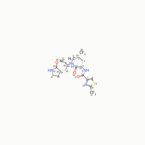 C[C@@H](C[C@H](NC(=O)c1csc(C(F)(F)F)n1)C(=O)N[C@H](C#N)C[C@@H]1CCNC1=O)C(F)(F)F